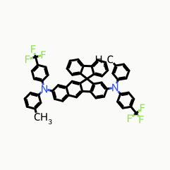 Cc1cccc(N(c2ccc(C(F)(F)F)cc2)c2ccc3c(c2)C2(c4ccccc4-c4ccccc42)c2cc4cc(N(c5ccc(C(F)(F)F)cc5)c5cccc(C)c5)ccc4cc2-3)c1